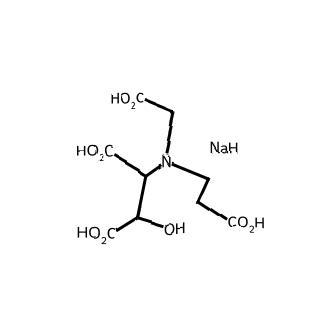 O=C(O)CCN(CC(=O)O)C(C(=O)O)C(O)C(=O)O.[NaH]